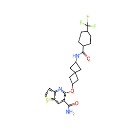 NC(=O)c1cc2sccc2nc1OC1CC2(CC(NC(=O)C3CCC(C(F)(F)F)CC3)C2)C1